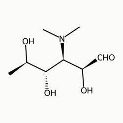 C[C@@H](O)[C@@H](O)[C@H]([C@H](O)C=O)N(C)C